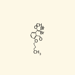 CCCCOc1cccc(C(OC)=C(Br)Br)c1C=O